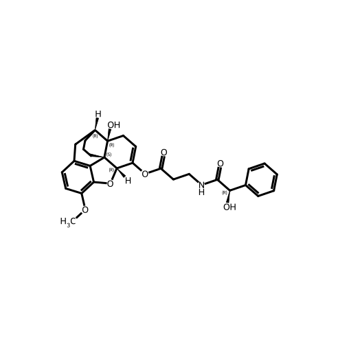 COc1ccc2c3c1O[C@H]1C(OC(=O)CCNC(=O)[C@H](O)c4ccccc4)=CC[C@@]4(O)[C@H](CCC[C@]314)C2